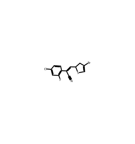 N#C/C(=C\C1CC(Br)=CS1)c1ccc(Cl)cc1F